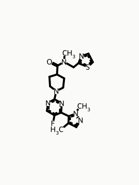 Cc1cnn(C)c1-c1nc(N2CCC(C(=O)N(C)Cc3nccs3)CC2)ncc1F